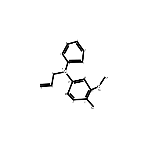 C=CCN(c1ccccc1)c1ccc(C)c(OC)c1